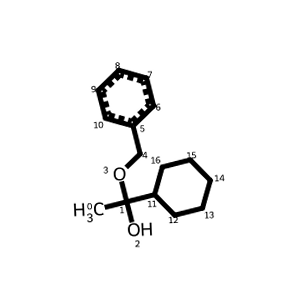 CC(O)(OCc1ccccc1)C1CCCCC1